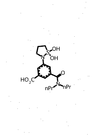 CCCN(CCC)C(=O)c1cc(C(=O)O)cc(N2CCCS2(O)O)c1